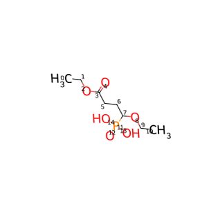 CCOC(=O)CCC(OCC)P(=O)(O)O